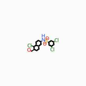 O=Cc1ccc2cc(NS(=O)(=O)c3cc(Cl)cc(Cl)c3)ccc2c1Cl